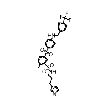 Cc1ccc(S(=O)(=O)c2ccc(NCc3ccc(C(F)(F)F)cc3)cc2)cc1S(=O)(=O)NCCCn1ccnc1